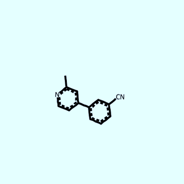 Cc1cc(-c2cccc(C#N)c2)ccn1